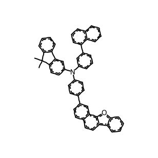 CC1(C)c2ccccc2-c2cc(N(c3ccc(-c4ccc5ccc6c7ccccc7oc6c5c4)cc3)c3cccc(-c4cccc5ccccc45)c3)ccc21